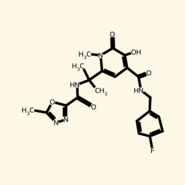 Cc1nnc(C(=O)NC(C)(C)c2cc(C(=O)NCc3ccc(F)cc3)c(O)c(=O)n2C)o1